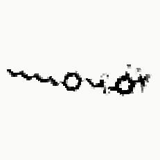 CCCCCCCC[C@H]1CC[C@H](CCC(=O)Oc2ccc(C(F)(F)F)c(F)c2)CC1